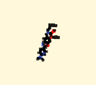 CNCCN(Cc1ccc2oc(-c3ccc(N(C)C)nc3)nc2c1)C(=O)OC(C)(C)C